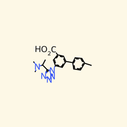 Cc1ccc(-c2cc(C(=O)O)cc(-n3nnnc3C(C)N(C)C)c2)cc1